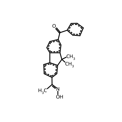 CC(=NO)c1ccc2c(c1)C(C)(C)c1cc(C(=O)c3ccccc3)ccc1-2